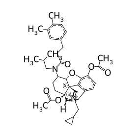 CC(=O)Oc1ccc2c3c1OC1C(N(CC(C)C)C(=O)CCc4ccc(C)c(C)c4)CC[C@@]4(OC(C)=O)[C@@H](C2)N(CC2CC2)CC[C@]314